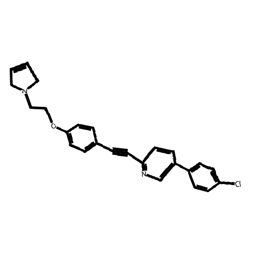 Clc1ccc(-c2ccc(C#Cc3ccc(OCCN4CC=CC4)cc3)nc2)cc1